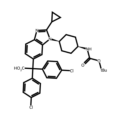 CC(C)(C)OC(=O)N[C@H]1CC[C@@H](n2c(C3CC3)nc3ccc(C(C(=O)O)(c4ccc(Cl)cc4)c4ccc(Cl)cc4)cc32)CC1